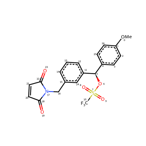 COc1ccc([C@@H](OS(=O)(=O)C(F)(F)F)c2cccc(CN3C(=O)C=CC3=O)c2)cc1